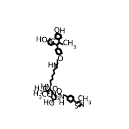 CCC(=C(c1ccc(O)cc1)c1ccc(OCCNCCCCCCCN[C@H](C(=O)N2C[C@H](O)C[C@H]2C(=O)NCc2ccc(-c3scnc3C)cc2)C(C)(C)C)cc1)c1ccc(O)cc1